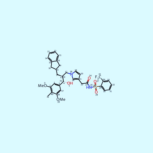 COc1cc([C@@H](O)[C@@H](CC2Cc3ccccc3C2)Cn2ccc(CC(=O)NS(=O)(=O)c3ccccc3C(F)(F)F)c2)cc(OC)c1C